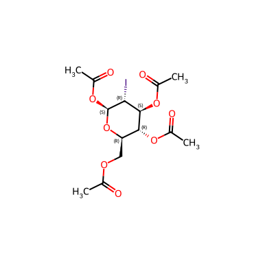 CC(=O)OC[C@H]1O[C@@H](OC(C)=O)[C@H](I)[C@@H](OC(C)=O)[C@@H]1OC(C)=O